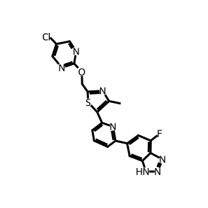 Cc1nc(COc2ncc(Cl)cn2)sc1-c1cccc(-c2cc(F)c3nn[nH]c3c2)n1